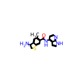 Cc1cc2c(cc1C(=O)Nc1ccnc3[nH]ccc13)SC[C@H]2N